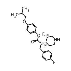 CC(C)COc1ccc(OC(=O)N(Cc2ccc(F)cc2)[C@H]2CCNC[C@H]2F)cc1